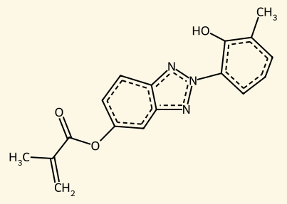 C=C(C)C(=O)Oc1ccc2nn(-c3cccc(C)c3O)nc2c1